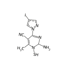 CC1=C(C#N)C(n2cc(I)cn2)=NC(N)N1S